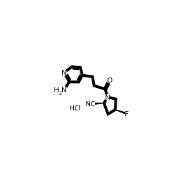 Cl.N#C[C@@H]1C[C@H](F)CN1C(=O)CCc1ccnc(N)c1